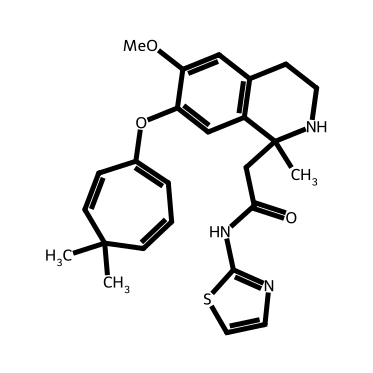 COc1cc2c(cc1OC1=CC=CC(C)(C)C=C1)C(C)(CC(=O)Nc1nccs1)NCC2